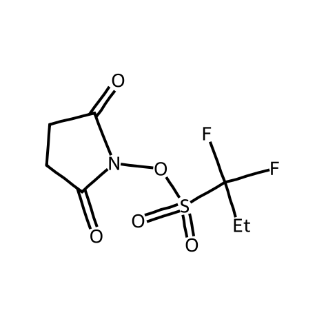 CCC(F)(F)S(=O)(=O)ON1C(=O)CCC1=O